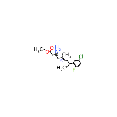 C=CC(C/C=C(\C)C[C@@H](N)CC(=O)OCC)c1cc(Cl)ccc1F